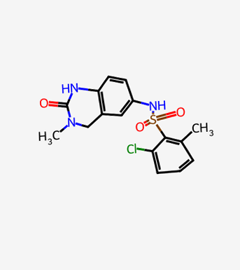 Cc1cccc(Cl)c1S(=O)(=O)Nc1ccc2c(c1)CN(C)C(=O)N2